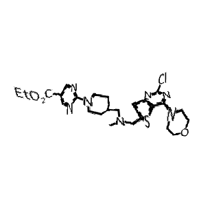 CCOC(=O)c1cnc(N2CCC(CN(C)Cc3cc4nc(Cl)nc(N5CCOCC5)c4s3)CC2)nc1